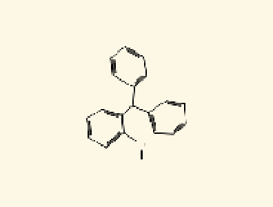 COc1ccccc1[C](c1ccccc1)c1ccccc1